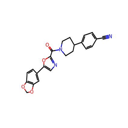 N#Cc1ccc(C2CCN(C(=O)c3ncc(-c4ccc5c(c4)OCO5)o3)CC2)cc1